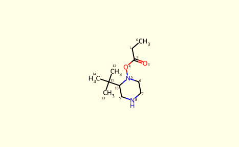 CCC(=O)ON1CCNCC1C(C)(C)C